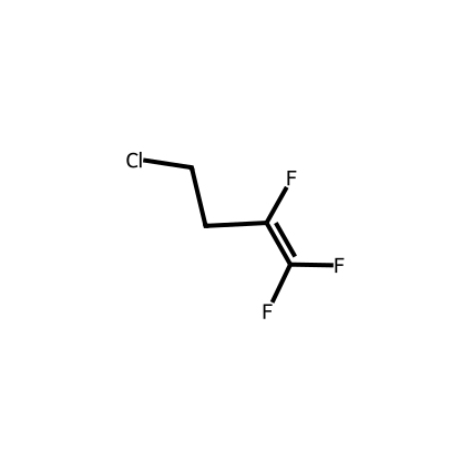 FC(F)=C(F)CCCl